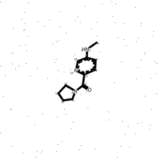 CNc1ccc(C(=O)N2CCCC2)nc1